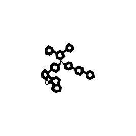 c1ccc(-c2ccc(-c3ccc(N(c4ccc(-c5cccc6oc7c8ccccc8ccc7c56)cc4)c4cc(-c5ccccc5)cc(-c5ccccc5)c4)cc3)cc2)cc1